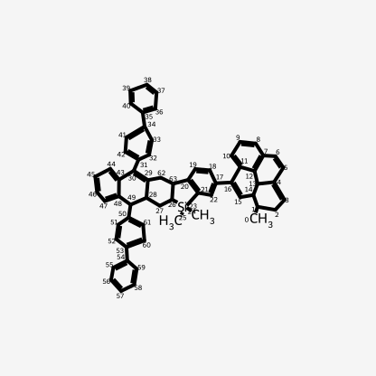 CC1CC=C2C=Cc3cccc4c3C2C1C=C4c1ccc2c(c1)[Si](C)(C)C1CC3C(=C(c4ccc(-c5ccccc5)cc4)c4ccccc4C3c3ccc(-c4ccccc4)cc3)CC21